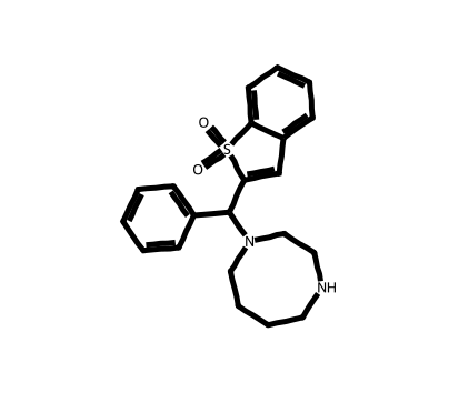 O=S1(=O)C(C(c2ccccc2)N2CCCCNCC2)=Cc2ccccc21